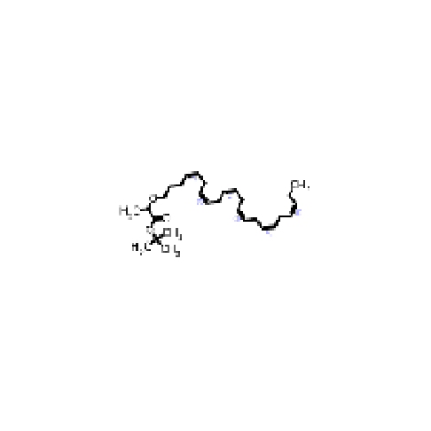 CC/C=C\C/C=C\C/C=C\C/C=C\C/C=C\C/C=C\CCCOC(C)C(=O)OC(C)(C)C